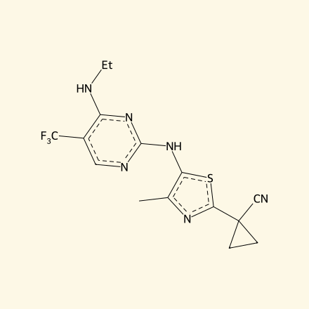 CCNc1nc(Nc2sc(C3(C#N)CC3)nc2C)ncc1C(F)(F)F